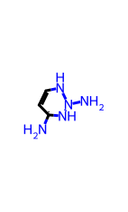 N[C]1C=CNN(N)N1